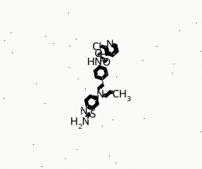 CCCN(CC[C@H]1CC[C@H](NS(=O)(=O)c2cccnc2Cl)CC1)[C@H]1CCc2nc(N)sc2C1